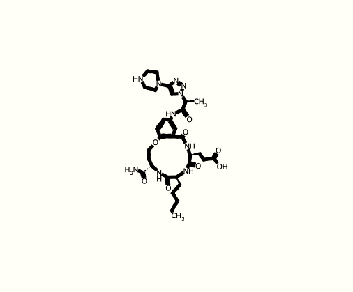 CCCCC[C@@H]1NC(=O)[C@H](CCC(=O)O)NC(=O)c2cc(NC(=O)[C@H](C)n3cc(N4CCNCC4)nn3)ccc2OCC[C@@H](C(N)=O)NC1=O